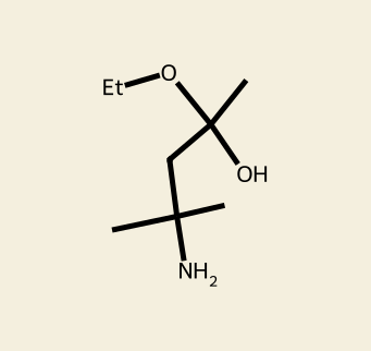 CCOC(C)(O)CC(C)(C)N